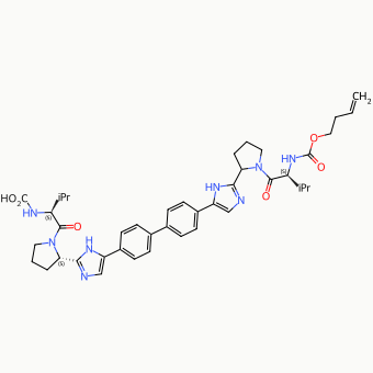 C=CCCOC(=O)N[C@H](C(=O)N1CCCC1c1ncc(-c2ccc(-c3ccc(-c4cnc([C@@H]5CCCN5C(=O)[C@@H](NC(=O)O)C(C)C)[nH]4)cc3)cc2)[nH]1)C(C)C